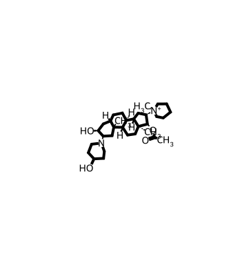 CC(=O)O[C@H]1[C@@H]([N+]2(C)CCCCC2)C[C@H]2[C@@H]3CC[C@H]4C[C@H](O)[C@@H](N5CCC(O)CC5)C[C@]4(C)[C@H]3CC[C@@]21C